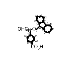 O=CN(OCC1c2ccccc2-c2ccccc21)c1ccc(C(=O)O)cc1